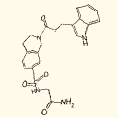 NC(=O)CNS(=O)(=O)c1ccc2c(c1)CN(C(=O)[CH]Cc1c[nH]c3ccccc13)CC2